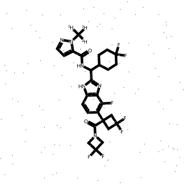 [2H]C([2H])([2H])n1nccc1C(=O)NC(c1nc2c(F)c(C3(C(=O)N4CC(F)(F)C4)CC(F)(F)C3)ccc2[nH]1)C1CCC(F)(F)CC1